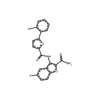 NC(=O)c1oc2ccc(F)cc2c1NC(=O)c1ccc(-c2ccccc2Cl)o1